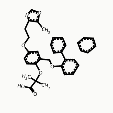 Cc1ocnc1CCOc1ccc(OC(C)(C)C(=O)O)c(COc2ccccc2-c2ccccc2)c1.c1ccccc1